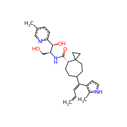 C=C/C=C(\c1cc[nH]c1C)C1CC[C@H](C(=O)N[C@@H](CO)[C@H](O)c2ccc(C)cn2)C2(CC1)CC2